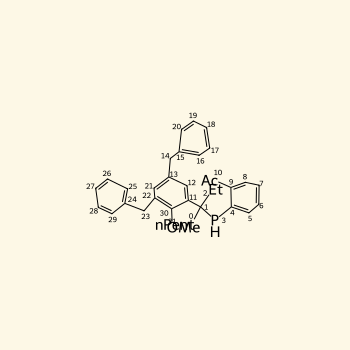 CCCCCC(CC)(Pc1ccccc1C(C)=O)c1cc(Cc2ccccc2)cc(Cc2ccccc2)c1OC